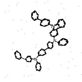 c1ccc(-c2ccc(N(c3ccccc3)c3ccc(-c4ccc(N(c5ccccc5)c5ccc6c(c5)c5ccccc5n6-c5ccc(-c6ccccc6)cc5)cc4)cc3)cc2)cc1